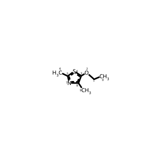 CCOc1sc(C)nc1C